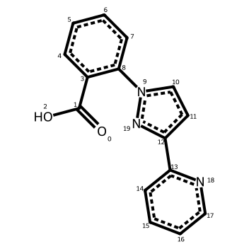 O=C(O)c1ccccc1-n1ccc(-c2ccccn2)n1